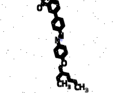 CCCCC(CC)COc1ccc(/N=N/c2ccc(-c3cccc(C(C)=O)c3)cc2)cc1